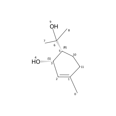 CC1=C[C@H](O)[C@H](C(C)(C)O)CC1